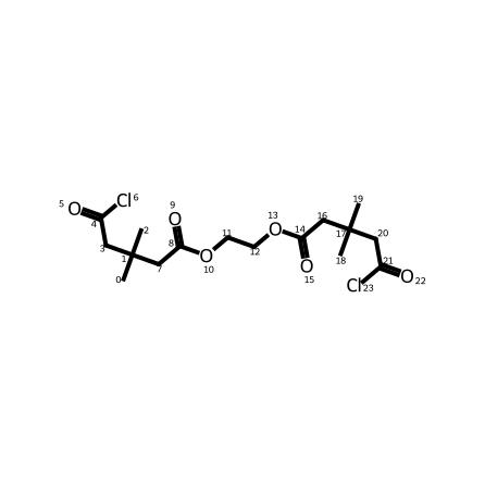 CC(C)(CC(=O)Cl)CC(=O)OCCOC(=O)CC(C)(C)CC(=O)Cl